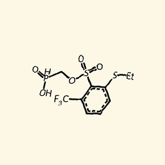 CCSc1cccc(C(F)(F)F)c1S(=O)(=O)OC[PH](=O)O